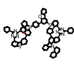 c1ccc(-c2nc(-c3ccccc3)nc(-c3cccc4c3-c3cc(-c5ccc6c(c5)c5ccccc5n6-c5cccc6ccccc56)ccc3[SH]4c3cc(-c4ccc(-n5c6ccccc6c6cc(-c7ccc8sc9cccc(-c%10nc(-c%11ccccc%11)nc(-c%11ccccc%11)n%10)c9c8c7)ccc65)cc4)c4oc5ccccc5c4c3)n2)cc1